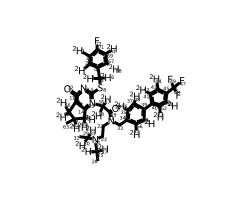 [2H]c1c([2H])c(C([2H])([2H])Sc2nc(=O)c3c(n2C([2H])([2H])C(=O)N(CCN(C([2H])([2H])C)C([2H])([2H])C)Cc2c([2H])c([2H])c(-c4c([2H])c([2H])c(C(F)(F)F)c([2H])c4[2H])c([2H])c2[2H])C([2H])([2H])C([2H])(C)C3([2H])[2H])c([2H])c([2H])c1F